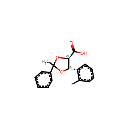 CC1(c2ccccc2)O[C@@H](C(=O)O)[C@H](c2ccccc2I)O1